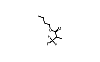 CCCCOC(=O)C(C)C(F)(F)F